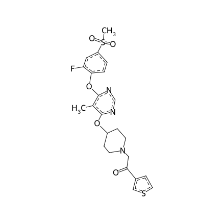 Cc1c(Oc2ccc(S(C)(=O)=O)cc2F)ncnc1OC1CCN(CC(=O)c2ccsc2)CC1